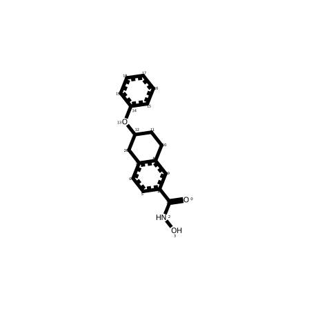 O=C(NO)c1ccc2c(c1)CCC(Oc1ccccc1)C2